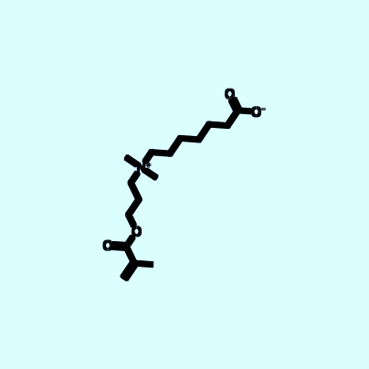 C=C(C)C(=O)OCCC[N+](C)(C)CCCCCCC(=O)[O-]